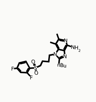 CCCCc1nc2c(N)nc(C)c(C)c2n1CCCCS(=O)(=O)c1ccc(F)cc1F